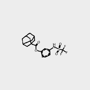 O=C(Oc1cccc(NS(=O)(=O)C(F)(F)F)c1)C12CC3CC(CC(C3)C1)C2